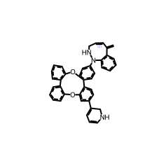 C=C1/C=C\CNN(c2ccc3c(c2)Oc2ccccc2-c2ccccc2Oc2cc(C4=CC=CNC4)ccc2-3)c2ccccc21